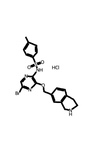 Cc1ccc(S(=O)(=O)Nc2ncc(Br)nc2OCc2ccc3c(c2)CNCC3)cc1.Cl